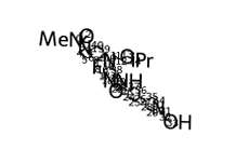 CNC(=O)n1ccc2c(F)c(N(CCOC(C)C)c3ccnc(NC(=O)c4ccc(C5CCN(CCO)CC5)cc4)c3)ccc21